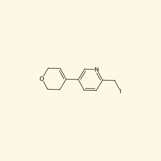 ICc1ccc(C2=CCOCC2)cn1